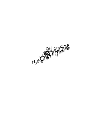 Cc1ccc(S(=O)(=O)N2CC[C@@H](C(=O)Nc3ccc(OC(F)(F)F)cc3)C[C@@H]2C(=O)O)cc1